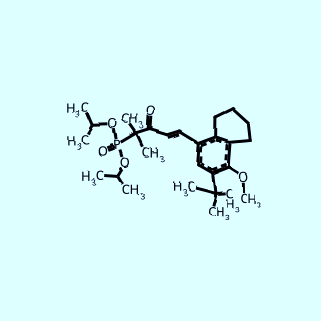 COc1c(C(C)(C)C)cc(C=CC(=O)C(C)(C)P(=O)(OC(C)C)OC(C)C)c2c1CCCC2